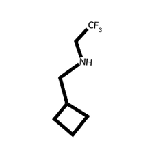 FC(F)(F)CNCC1CCC1